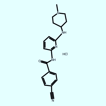 CN1CCC(Nc2cccc(NC(=O)c3ccc(C#N)cc3)n2)CC1.Cl